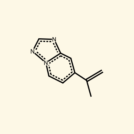 C=C(C)c1ccn2ncnc2c1